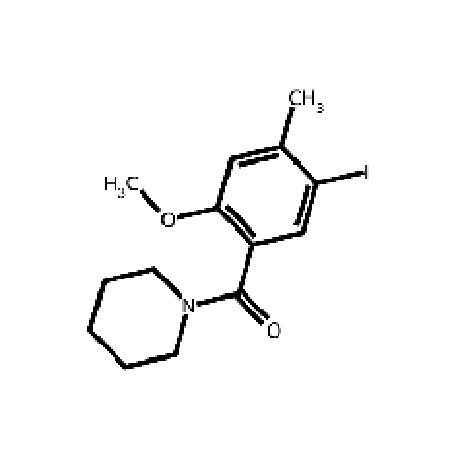 COc1cc(C)c(I)cc1C(=O)N1CCCCC1